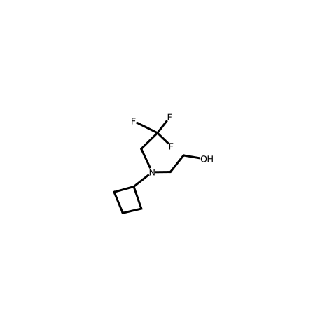 OCCN(CC(F)(F)F)C1CCC1